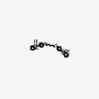 c1ccc2[nH]c(-c3ccc(OCCCCCOc4ccc(-c5nc6ccccc6[nH]5)cc4)cc3)nc2c1